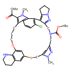 COC(=O)c1c2c3ccc(Cl)c(c3n1C)-c1c(nn3c1CCC3)CN(C(=O)OC(C)(C)C)Cc1cc(n(C)n1)CSc1cc3c(c(c1)OCCC2)NCCC3